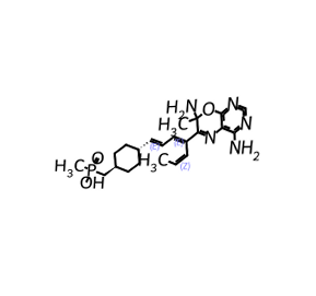 C\C=C/C(=C\C=C\[C@H]1CC[C@H](CP(C)(=O)O)CC1)C1=Nc2c(N)ncnc2OC1(C)N